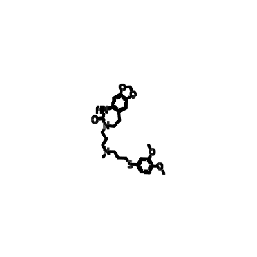 COc1ccc(SCCCN(C)CCCN2CCc3cc4c(cc3NC2=O)OCO4)cc1OC